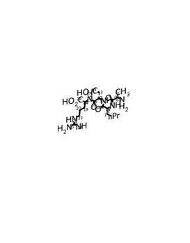 CC(C)C[C@H](NC(=O)[C@H](C)N)C(=O)N[C@@H](CC(=O)O)C(=O)N[C@@H](CCCNC(=N)N)C(=O)O